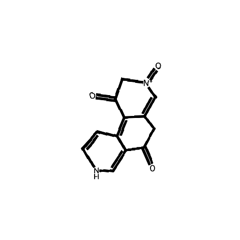 O=C1CC2=C[N+](=O)CC(=O)C2=C2C=CNC=C12